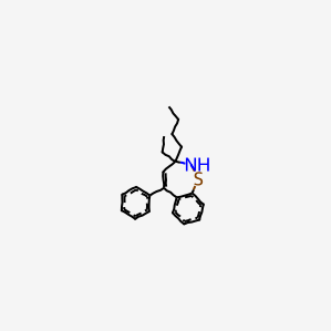 CCCCC1(CC)C=C(c2ccccc2)c2ccccc2SN1